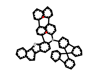 c1ccc(-c2ccc(-c3c(N(c4ccc(-c5ccccc5)cc4)c4ccc5c(c4)C4(c6ccccc6-c6ccccc64)c4ccccc4-5)ccc4c3oc3c5ccccc5ccc43)cc2)cc1